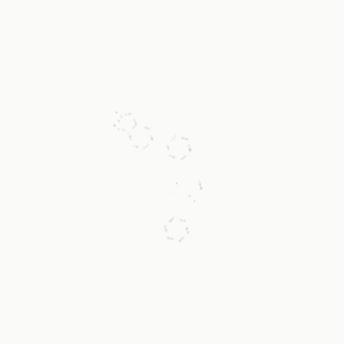 Cc1n[nH]c2ccc(-c3cc(OC[C@H](Cc4ccccc4)NC(=O)OC(C)(C)C)ccc3C=O)cc12